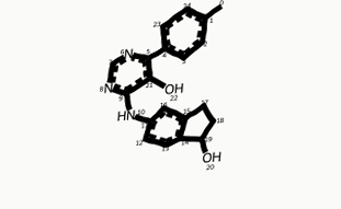 Cc1ccc(-c2ncnc(Nc3ccc4c(c3)CCC4O)c2O)cc1